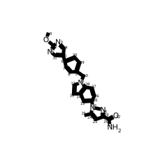 COc1ncc(-c2ccc(Cn3ccc4cc(-n5nc(C(N)=O)cc5C)ccc43)cc2)cn1